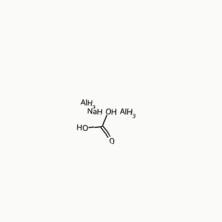 O=C(O)O.[AlH3].[AlH3].[NaH]